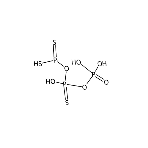 O=P(O)(O)OP(O)(=S)O[P](=S)S